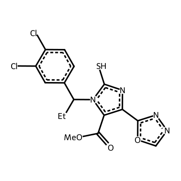 CCC(c1ccc(Cl)c(Cl)c1)n1c(S)nc(-c2nnco2)c1C(=O)OC